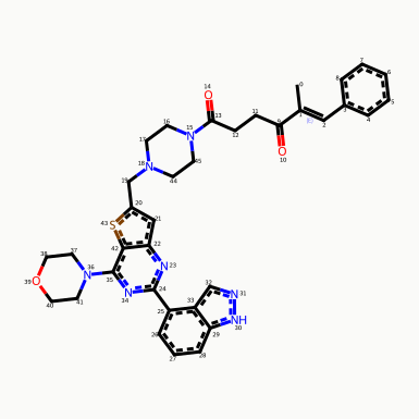 C/C(=C\c1ccccc1)C(=O)CCC(=O)N1CCN(Cc2cc3nc(-c4cccc5[nH]ncc45)nc(N4CCOCC4)c3s2)CC1